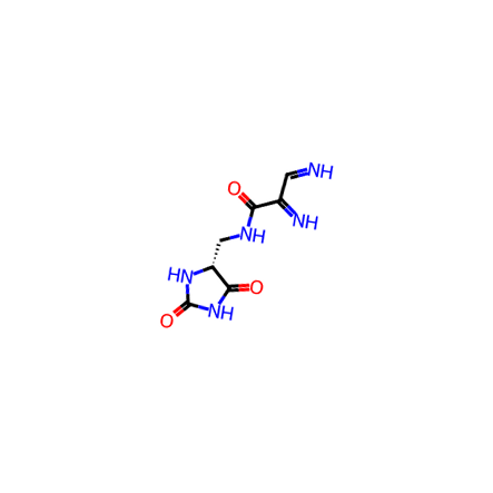 N=CC(=N)C(=O)NC[C@H]1NC(=O)NC1=O